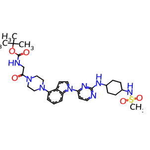 CC(C)(C)OC(=O)NCC(=O)N1CCN(c2cccc3c2ccn3-c2ccnc(NC3CCC(NS(C)(=O)=O)CC3)n2)CC1